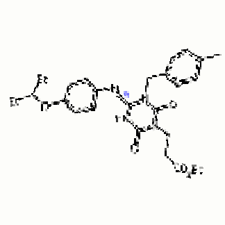 CCOC(=O)CCn1c(=O)[nH]/c(=N\c2ccc(OC(CC)CC)cc2)n(Cc2ccc(C)cc2)c1=O